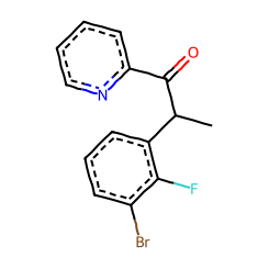 CC(C(=O)c1ccccn1)c1cccc(Br)c1F